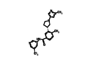 Cc1ccc(C(=O)Nc2cncc(C(F)(F)F)c2)cc1[C@@H]1CCN(c2cnn(C)c2)C1